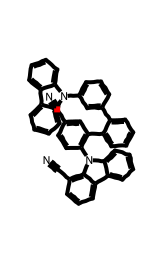 N#Cc1ccc(-n2c3ccccc3c3cccc(C#N)c32)c(-c2ccccc2-c2cccc(-n3c4ccccc4c4ccccc43)c2)c1